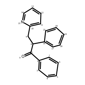 O=C(c1ccccc1)C(Cc1ccccn1)c1ccccc1